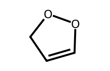 C1=COOC1